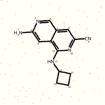 N#Cc1cc2cnc(N)cc2c(NC2CCC2)n1